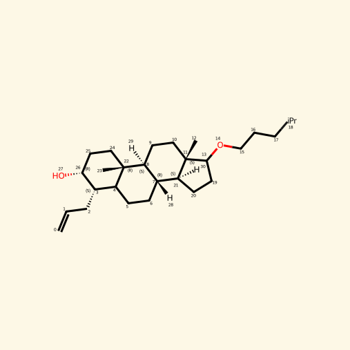 C=CC[C@H]1C2CC[C@@H]3[C@H](CC[C@]4(C)C(OCCCC(C)C)CC[C@@H]34)[C@@]2(C)CC[C@H]1O